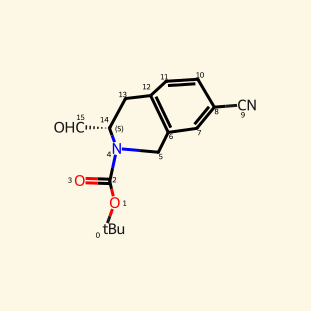 CC(C)(C)OC(=O)N1Cc2cc(C#N)ccc2C[C@H]1C=O